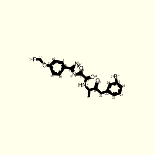 CC(NC(=O)c1nc(-c2ccc(OCF)cc2)no1)C(=O)Cc1cccc(Br)c1